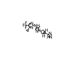 Cc1c(Nc2ncc(C(F)(F)F)c(C3CC3)n2)cnn1C1C[C@@H]2C(c3ncnn3C)[C@@H]2C1